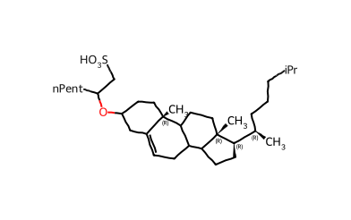 CCCCCC(CS(=O)(=O)O)OC1CC[C@@]2(C)C(=CCC3C2CC[C@@]2(C)C3CC[C@@H]2[C@H](C)CCCC(C)C)C1